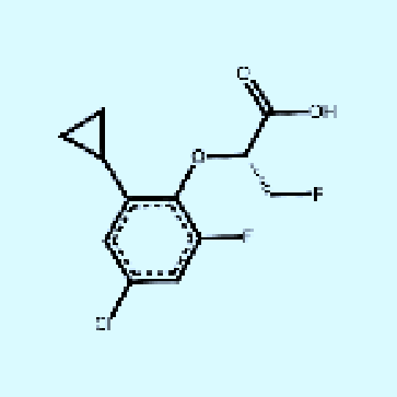 O=C(O)[C@H](CF)Oc1c(F)cc(Cl)cc1C1CC1